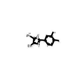 CCc1nc(-c2ccc(C)c(C)c2)oc1C(C)C